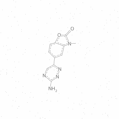 Cn1c(=O)oc2ccc(-c3cnc(N)nn3)cc21